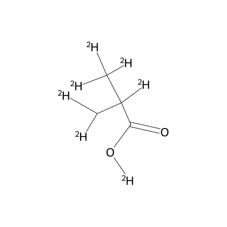 [2H]OC(=O)C([2H])(C([2H])[2H])C([2H])([2H])[2H]